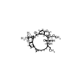 CCC12CCCC3CC3c3ccc4c(c3)[C@H](CC(C)(C)O4)NC(=O)c3ccc4c(c3)[C@@H]([C@H](COC)CO4)N(C(=N)N1)C(=O)C2